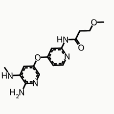 CNc1cc(Oc2ccnc(NC(=O)CCOC)c2)cnc1N